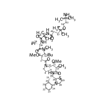 CC[C@H](C)C([C@@H](CC(=O)N1CCC[C@H]1[C@H](OC)[C@@H](C)C(=O)N[C@@H](Cc1ccccc1)c1nccs1)OC)N(C)C(=O)[C@@H](NC(=O)C(C)(C)NC(=O)CCC(C)(C)OCCC(C)(C)N)C(C)C